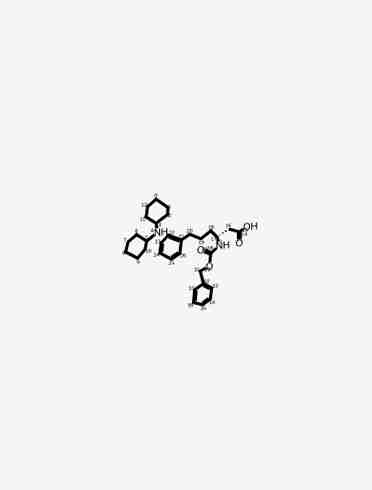 C1CCC(NC2CCCCC2)CC1.O=C(O)C[C@@H](CCCc1ccccc1)NC(=O)OCc1ccccc1